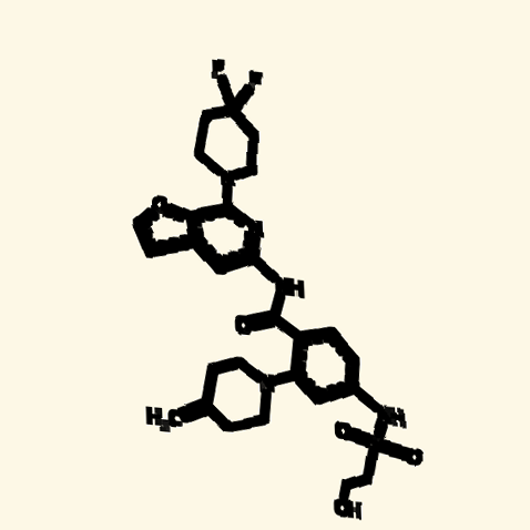 C=C1CCN(c2cc(NS(=O)(=O)CCO)ccc2C(=O)Nc2cc3ccoc3c(N3CCC(F)(F)CC3)n2)CC1